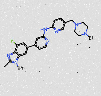 CCN1CCN(Cc2ccc(Nc3cc(-c4cc(F)c5nc(C)n(C(C)C)c5c4)ccn3)nc2)CC1